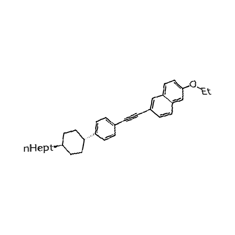 CCCCCCC[C@H]1CC[C@H](c2ccc(C#Cc3ccc4cc(OCC)ccc4c3)cc2)CC1